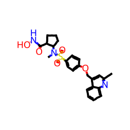 Cc1cc(COc2ccc(S(=O)(=O)N(C)C3CCCC3C(=O)NO)cc2)c2ccccc2n1